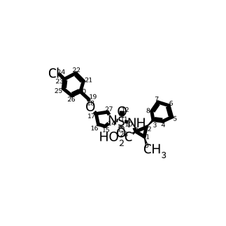 C[C@@H]1[C@H](c2ccccc2)[C@]1(NS(=O)(=O)N1CCC(OCc2ccc(Cl)cc2)C1)C(=O)O